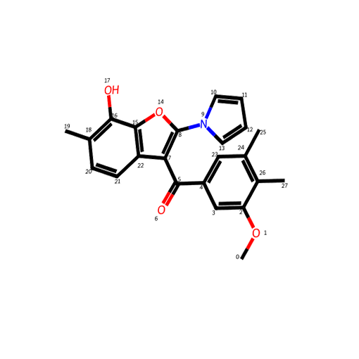 COc1cc(C(=O)c2c(-n3cccc3)oc3c(O)c(C)ccc23)cc(C)c1C